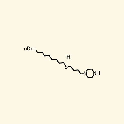 CCCCCCCCCCCCCCCCCCSCCCCN1CCNCC1.I